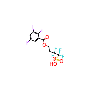 O=C(OCCC(F)(F)C(F)(F)S(=O)(=O)O)c1cc(I)cc(I)c1I